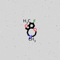 Cc1c(F)cc2c3c(coc13)CCN(C)CCCO2